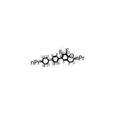 CCCC1CCc2cc(-c3ccc([C@H]4CC[C@H](CCC)CC4)cc3)c(F)c(F)c2O1